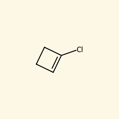 ClC1=CCC1